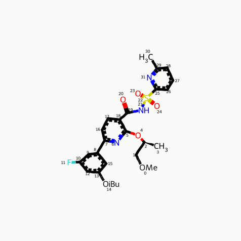 COC[C@H](C)Oc1nc(-c2cc(F)cc(OCC(C)C)c2)ccc1C(=O)NS(=O)(=O)c1cccc(C)n1